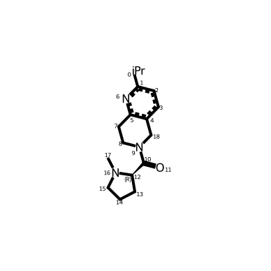 CC(C)c1ccc2c(n1)CCN(C(=O)[C@H]1CCCN1C)C2